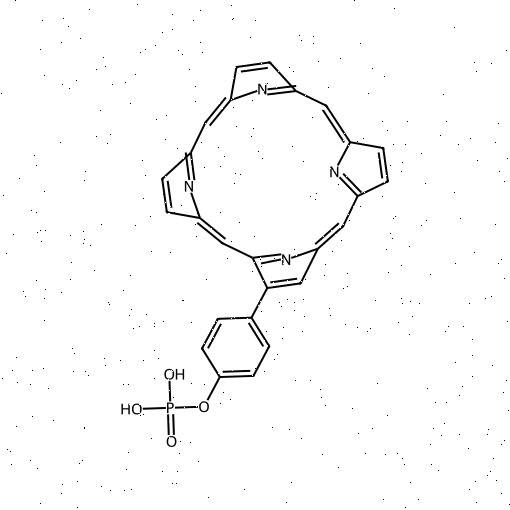 O=P(O)(O)Oc1ccc(C2=CC3=CC4=NC(=CC5=NC(=CC6=NC(=CC2=N3)C=C6)C=C5)C=C4)cc1